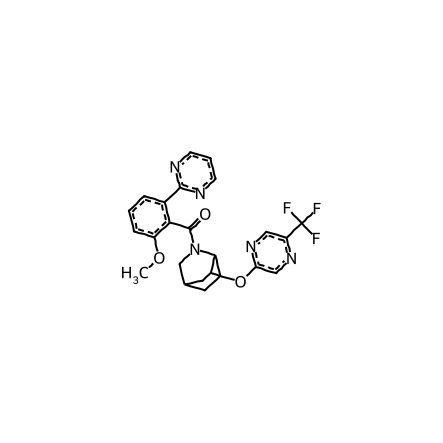 COc1cccc(-c2ncccn2)c1C(=O)N1CC2CCC1C(Oc1cnc(C(F)(F)F)cn1)C2